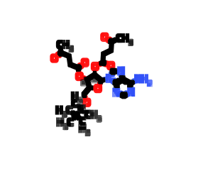 CC(=O)CCC(=O)O[C@@H]1C(CO[Si](C)(C)C(C)(C)C)OC(n2cnc3c(N)ncnc32)[C@H]1OC(=O)CCC(C)=O